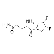 NC(=O)CC[C@H](N)C(=O)N1C[C@@H](F)[C@@H](F)C1